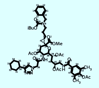 COC(=O)[C@@]1(OCCCN(Cc2ccccc2)C(=O)OCC(C)C)CC(OC(C)=O)[C@@H](NC(=O)Cn2cc(C3CCCCC3)nn2)C([C@@H](C[C@@H](CNC(=O)c2cc(C)c(OC(C)=O)c(C)c2)OC(C)=O)OC(C)=O)O1